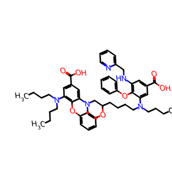 CCCCN(CCCCC1CN(c2cc(C(=O)O)cc(N(CCCC)CCCC)c2Oc2ccccc2)CCO1)c1cc(C(=O)O)cc(NCc2ccccn2)c1Oc1ccccc1